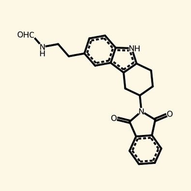 O=CNCCc1ccc2[nH]c3c(c2c1)CC(N1C(=O)c2ccccc2C1=O)CC3